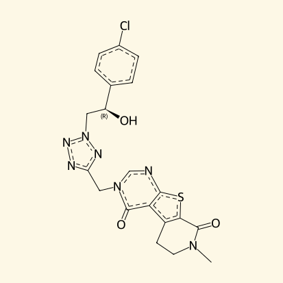 CN1CCc2c(sc3ncn(Cc4nnn(C[C@H](O)c5ccc(Cl)cc5)n4)c(=O)c23)C1=O